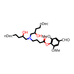 CCCCCCCCCCCCC(O)CN(CCCC(=O)Oc1c(OC)cc(C=O)cc1OC)CC(O)CCCCCCCCCCCC